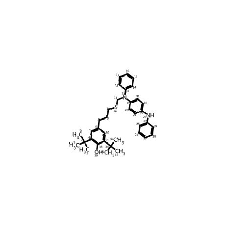 CC(C)(C)c1cc(CCCSCN(c2ccccc2)c2ccc(Nc3ccccc3)cc2)cc(C(C)(C)C)c1O